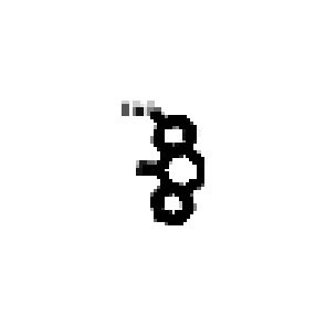 O=C(O)c1ccc2c(c1)C(=O)c1ccccc1CC2